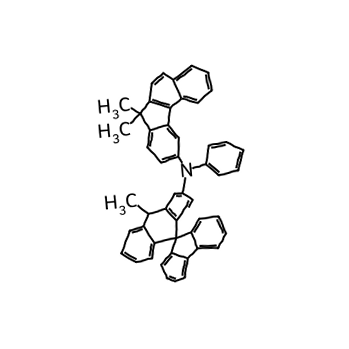 CC1c2ccccc2C2(c3ccccc3-c3ccccc32)c2ccc(N(c3ccccc3)c3ccc4c(c3)-c3c(ccc5ccccc35)C4(C)C)cc21